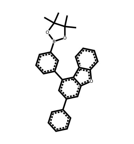 CC1(C)OB(c2cccc(-c3cc(-c4ccccc4)cc4oc5ccccc5c34)c2)OC1(C)C